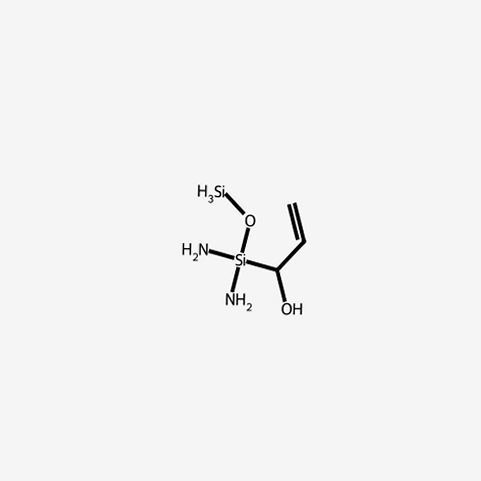 C=CC(O)[Si](N)(N)O[SiH3]